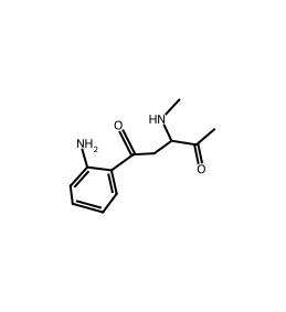 CNC(CC(=O)c1ccccc1N)C(C)=O